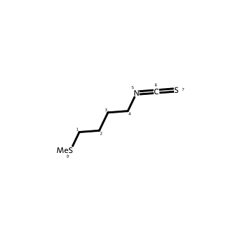 CSCCCCN=C=S